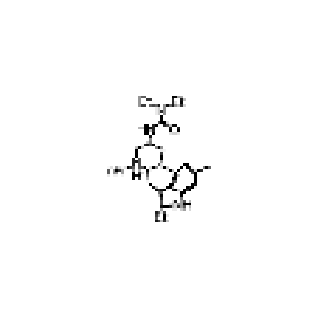 CCCN1C[C@@H](NC(=O)N(CC)CC)CC2c3cc(C)cc4[nH]c(CC)c(c34)C[C@H]21